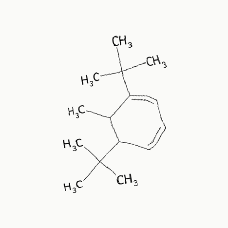 CC1C(C(C)(C)C)=CC=CC1C(C)(C)C